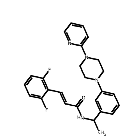 CC(NC(=O)C=Cc1c(F)cccc1F)c1cccc(N2CCN(c3ccccn3)CC2)c1